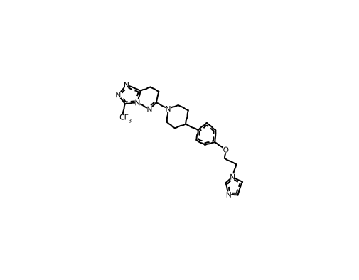 FC(F)(F)c1nnc2n1N=C(N1CCC(c3ccc(OCCn4ccnc4)cc3)CC1)CC2